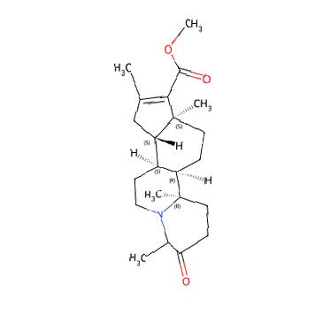 COC(=O)C1=C(C)C[C@H]2[C@@H]3CCN4C(C)C(=O)CC[C@]4(C)[C@@H]3CC[C@]12C